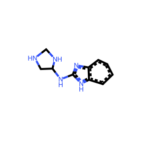 c1ccc2[nH]c(NC3CNCN3)nc2c1